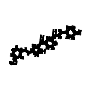 COc1cccc(CCc2cc(Nc3ccnc(NCCc4ccc(F)cn4)n3)[nH]n2)c1